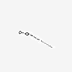 [CH2]CCCCCCCCCCOCCOCCOCCOc1ccc(OCc2ccccc2)cc1